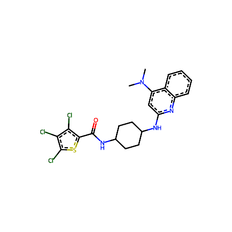 CN(C)c1cc(NC2CCC(NC(=O)c3sc(Cl)c(Cl)c3Cl)CC2)nc2ccccc12